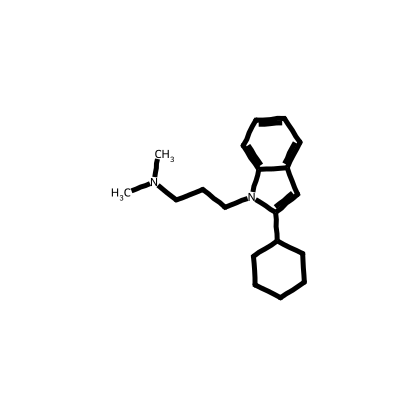 CN(C)CCCn1c(C2CCCCC2)cc2ccccc21